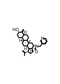 C=C(C)[C@@H]1CC[C@]2(C(=O)NCc3cccnc3)CC[C@]3(C)[C@H](CC[C@@H]4[C@@]5(C)CC[C@H](O)C(=C)[C@@H]5CC[C@]43C)[C@@H]12